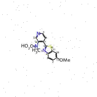 COc1ccc2nc(-c3ccncc3N(C)C(=O)O)sc2c1